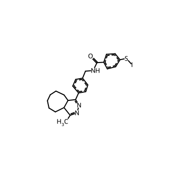 CC1=NN=C(c2ccc(CNC(=O)c3ccc(SI)cc3)cc2)C2CCCCCCC12